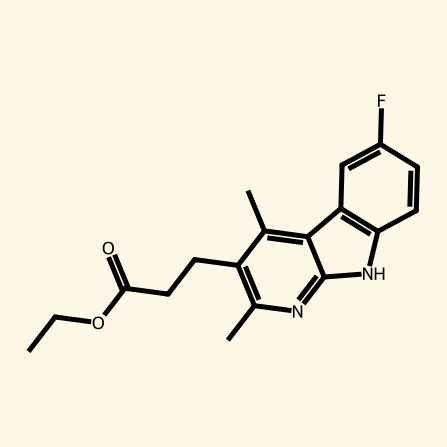 CCOC(=O)CCc1c(C)nc2[nH]c3ccc(F)cc3c2c1C